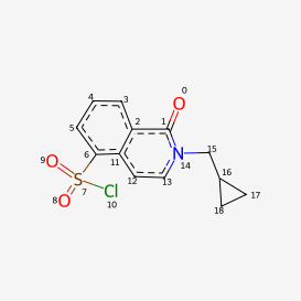 O=c1c2cccc(S(=O)(=O)Cl)c2ccn1CC1CC1